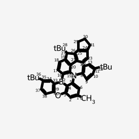 Cc1cc2c3c(c1)N(c1ccc(C(C)(C)C)cc1)c1c(ccc4c1-c1ccc5c(c1C4C(C)(C)C)CCC5)B3c1cc(C(C)(C)C)ccc1O2